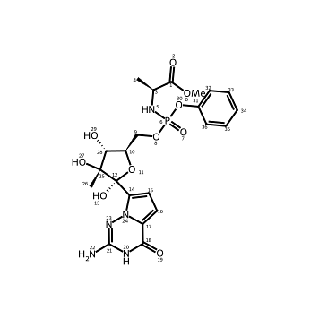 COC(=O)[C@H](C)NP(=O)(OC[C@H]1O[C@@](O)(c2ccc3c(=O)[nH]c(N)nn23)[C@](C)(O)[C@@H]1O)Oc1ccccc1